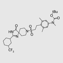 Cc1cc(N(C)C(=O)OC(C)(C)C)cc(C)c1CCS(=O)(=O)N1CCC2(CC1)N=C(C1CCCC(C(F)(F)F)C1)NC2=O